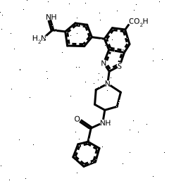 N=C(N)c1ccc(-c2cc(C(=O)O)cc3sc(N4CCC(NC(=O)c5ccccc5)CC4)nc23)cc1